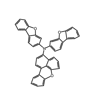 c1ccc2c(c1)Oc1cccc3c(N(c4ccc5c(c4)oc4ccccc45)c4ccc5c(c4)oc4ccccc45)ccc-2c13